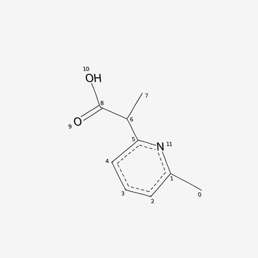 Cc1cccc(C(C)C(=O)O)n1